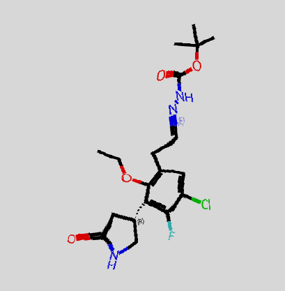 CCOc1c(C/C=N/NC(=O)OC(C)(C)C)cc(Cl)c(F)c1[C@@H]1CNC(=O)C1